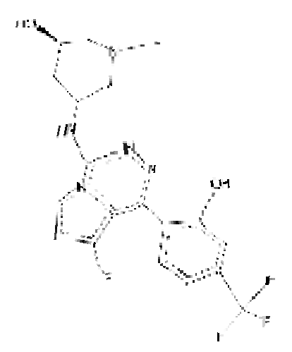 CN1CC(Nc2nnc(-c3ccc(C(F)(F)F)cc3O)c3c(F)ccn23)C[C@@H](O)C1